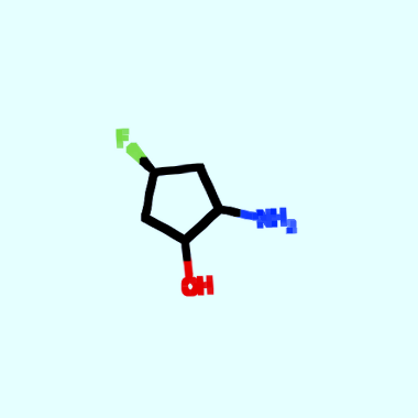 NC1C[C@H](F)CC1O